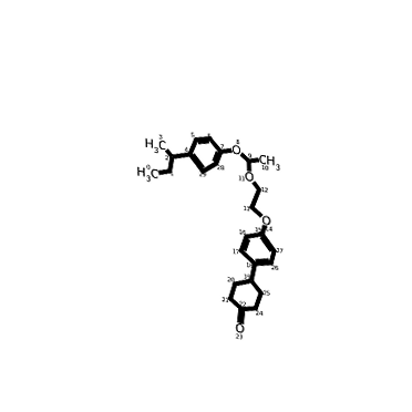 CCC(C)c1ccc(OC(C)OCCOc2ccc(C3CCC(=O)CC3)cc2)cc1